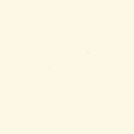 CC1(C)Oc2ccc([N+](=O)[O-])cc2C2OC21C